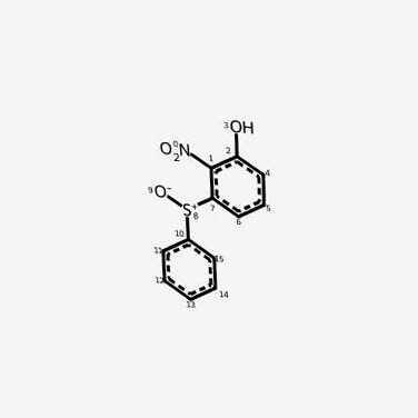 O=[N+]([O-])c1c(O)cccc1[S+]([O-])c1ccccc1